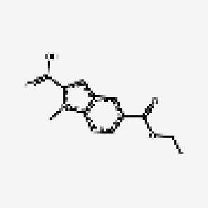 CCOC(=O)c1ccc2c(c1)cc(C(=O)O)n2C